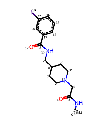 CC(C)(C)NC(=O)CN1CCC(CNC(=O)c2cccc(I)c2)CC1